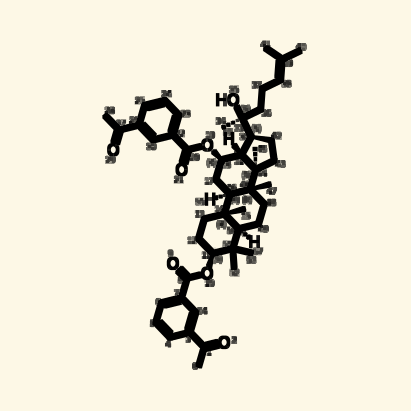 CC(=O)c1cccc(C(=O)O[C@H]2CC[C@]3(C)[C@H]4C[C@@H](OC(=O)c5cccc(C(C)=O)c5)[C@@H]5[C@@H]([C@@](C)(O)CCC=C(C)C)CC[C@@]5(C)[C@]4(C)CC[C@H]3C2(C)C)c1